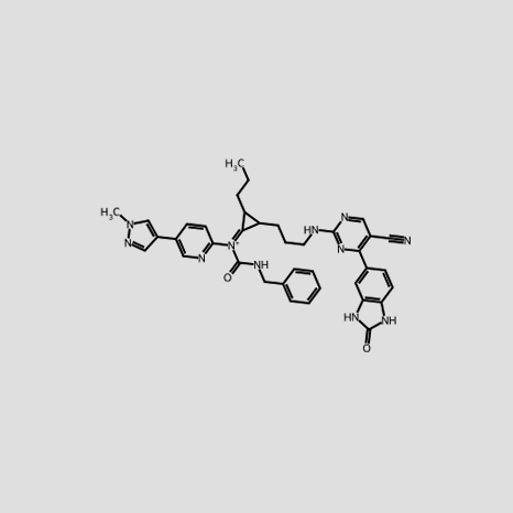 CCCC1/C(=[N+](/C(=O)NCc2ccccc2)c2ccc(-c3cnn(C)c3)cn2)C1CCCNc1ncc(C#N)c(-c2ccc3[nH]c(=O)[nH]c3c2)n1